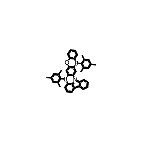 Cc1cc(C)c(B2c3ccccc3Oc3cc4c(cc32)-n2c3ccccc3c3cccc(c32)B4c2c(C)cc(C)cc2C)c(C)c1